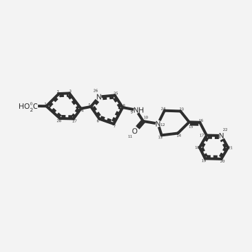 O=C(O)c1ccc(-c2ccc(NC(=O)N3CCC(=Cc4ccccn4)CC3)cn2)cc1